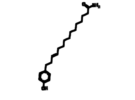 NC(=O)CCCCCCCCCCC=CCCc1ccc(O)cc1